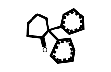 O=C1CCCCC1(c1ccccc1)c1ccccc1